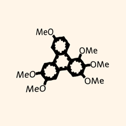 COc1ccc2c(c1)c1cc(OC)c(OC)cc1c1cc(OC)c(OC)c(OC)c21